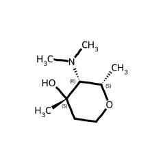 C[C@@H]1OCC[C@](C)(O)[C@@H]1N(C)C